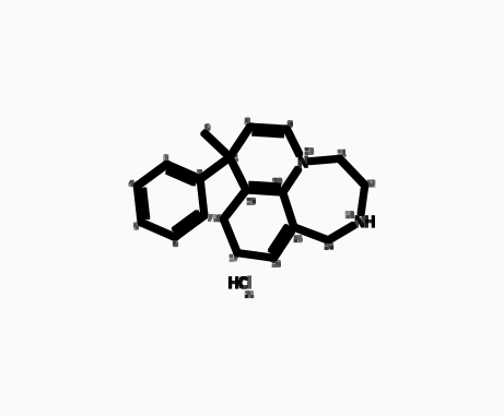 CC1(c2ccccc2)C=CN2CCNCC3=CCCC1=C32.Cl